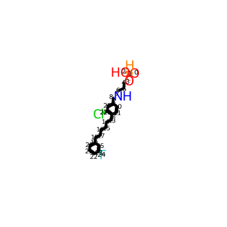 O=[PH](O)OCCCNCc1ccc(CCCCCCc2cccc(F)c2)c(Cl)c1